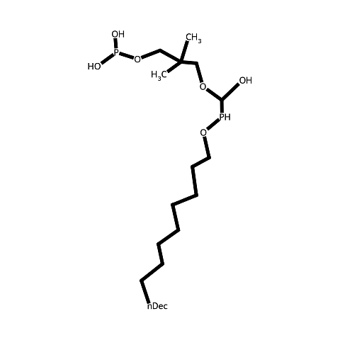 CCCCCCCCCCCCCCCCCCOPC(O)OCC(C)(C)COP(O)O